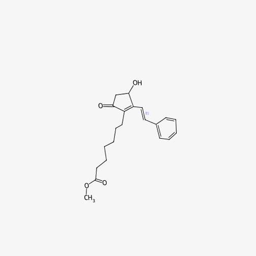 COC(=O)CCCCCCC1=C(/C=C/c2ccccc2)C(O)CC1=O